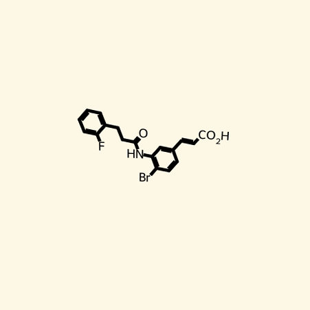 O=C(O)/C=C/c1ccc(Br)c(NC(=O)CCc2ccccc2F)c1